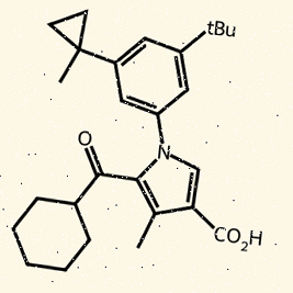 Cc1c(C(=O)O)cn(-c2cc(C(C)(C)C)cc(C3(C)CC3)c2)c1C(=O)C1CCCCC1